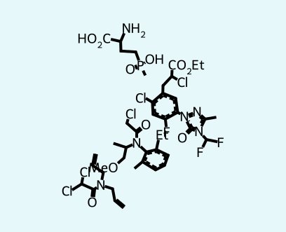 C=CCN(CC=C)C(=O)C(Cl)Cl.CCOC(=O)C(Cl)Cc1cc(-n2nc(C)n(C(F)F)c2=O)c(F)cc1Cl.CCc1cccc(C)c1N(C(=O)CCl)C(C)COC.CP(=O)(O)CCC(N)C(=O)O